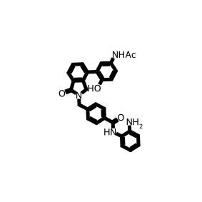 CC(=O)Nc1ccc(O)c(-c2cccc3c2CN(Cc2ccc(C(=O)Nc4ccccc4N)cc2)C3=O)c1